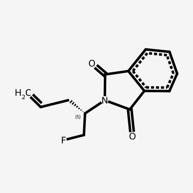 C=CC[C@@H](CF)N1C(=O)c2ccccc2C1=O